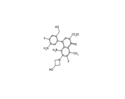 Bc1c(N2CC(O)C2)c(F)c(C)c2c(=O)c(C(=O)OCC)cn(-c3cc(N)c(F)cc3CO)c12